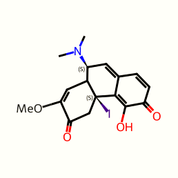 COC1=CC2[C@@H](N(C)C)C=C3C=CC(=O)C(O)=C3[C@]2(I)CC1=O